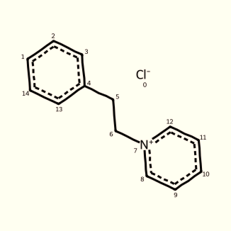 [Cl-].c1ccc(CC[n+]2ccccc2)cc1